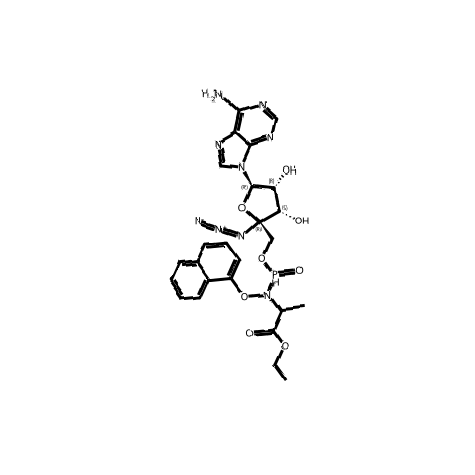 CCOC(=O)C(C)N(Oc1cccc2ccccc12)[PH](=O)OC[C@@]1(N=[N+]=[N-])O[C@@H](n2cnc3c(N)ncnc32)[C@H](O)[C@@H]1O